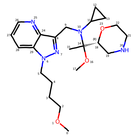 COCCCCn1nc(CN(C2CC2)C(C)(OC)[C@H]2CNCCO2)c2ncccc21